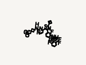 O=S1(=O)CC2(CC(Nc3nccc(-c4sc(C56CC(C5)C6)nc4-c4cccc(NS(=O)(=O)c5c(F)cccc5C(F)(F)F)c4F)n3)C2)C1